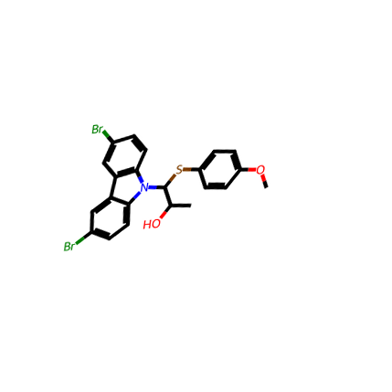 COc1ccc(SC(C(C)O)n2c3ccc(Br)cc3c3cc(Br)ccc32)cc1